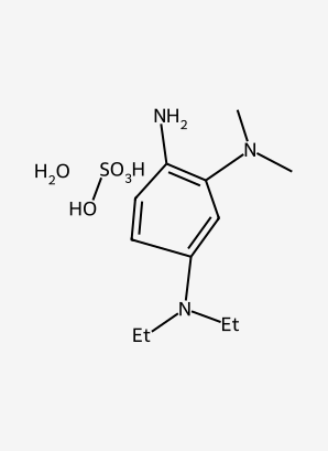 CCN(CC)c1ccc(N)c(N(C)C)c1.O.O=S(=O)(O)O